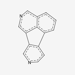 c1cc2c3c(cncc3c1)-c1cnccc1-2